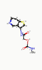 CC(C)(C)NC(=O)OCC(=O)Nc1csc2ccncc12